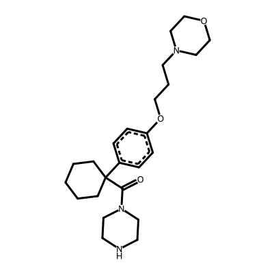 O=C(N1CCNCC1)C1(c2ccc(OCCCN3CCOCC3)cc2)CCCCC1